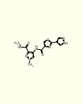 CNC(=O)c1nn(C)cc1NC(=O)c1csc(-c2cn[nH]c2)n1